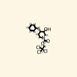 O=C(OCC(Cl)(Cl)Cl)N1CCC(Sc2ccccc2)C(O)C1